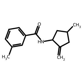 C=C1CC(C)CC1NC(=O)c1cccc(C)c1